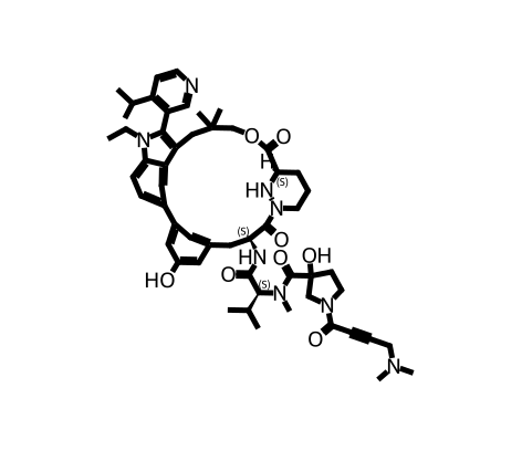 CCn1c(-c2cnccc2C(C)C)c2c3cc(ccc31)-c1cc(O)cc(c1)C[C@H](NC(=O)[C@H](C(C)C)N(C)C(=O)C1(O)CCN(C(=O)C#CCN(C)C)C1)C(=O)N1CCC[C@H](N1)C(=O)OCC(C)(C)C2